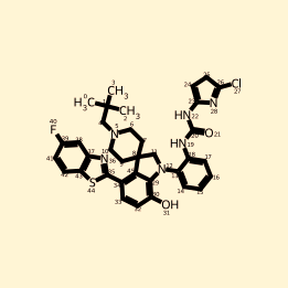 CC(C)(C)CN1CCC2(CC1)CN(c1ccccc1NC(=O)NC1=CCC(Cl)=N1)c1c(O)ccc(-c3nc4cc(F)ccc4s3)c12